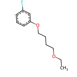 CCOCCCCOc1cc[c]c(F)c1